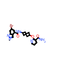 Cn1cc2c(C(=O)NC3CC4(C3)CC(Oc3ncccc3C(N)=O)C4)cc(Br)cc2n1